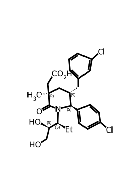 CC[C@@H]([C@H](O)CO)N1C(=O)[C@@](C)(CC(=O)O)C[C@H](Cc2cccc(Cl)c2)[C@H]1c1ccc(Cl)cc1